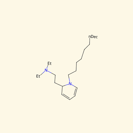 CCCCCCCCCCCCCCCCN1C=CC=CC1CCN(CC)CC